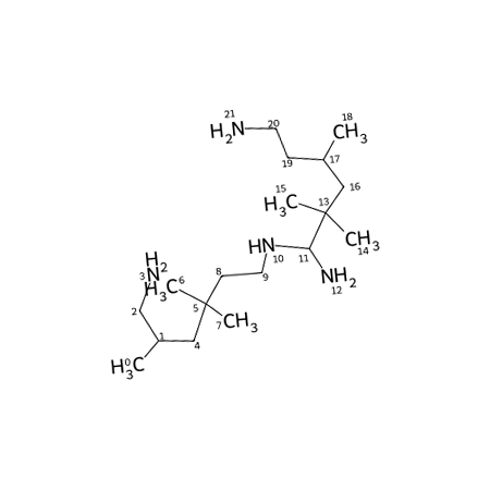 CC(CN)CC(C)(C)CCNC(N)C(C)(C)CC(C)CCN